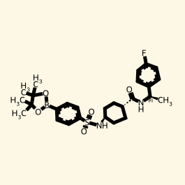 C[C@@H](NC(=O)[C@H]1CC[C@H](NS(=O)(=O)c2ccc(B3OC(C)(C)C(C)(C)O3)cc2)CC1)c1ccc(F)cc1